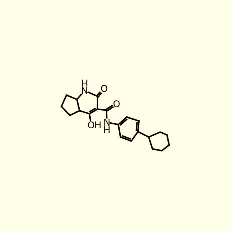 O=C(Nc1ccc(C2CCCCC2)cc1)C1=C(O)C2CCCC2NC1=O